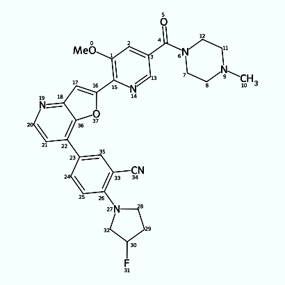 COc1cc(C(=O)N2CCN(C)CC2)cnc1-c1cc2nccc(-c3ccc(N4CCC(F)C4)c(C#N)c3)c2o1